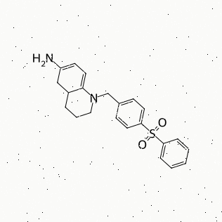 NC1=CC=C2C(CCCN2Cc2ccc(S(=O)(=O)c3ccccc3)cc2)C1